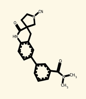 CN(C)C(=O)c1cccc(-c2ccc3c(c2)CC2(CCN(C#N)C2)C(=O)N3)c1